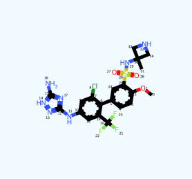 COc1ccc(-c2c(Cl)cc(Nc3n[nH]c(N)n3)cc2C(F)(F)F)cc1S(=O)(=O)NC1(C)CNC1